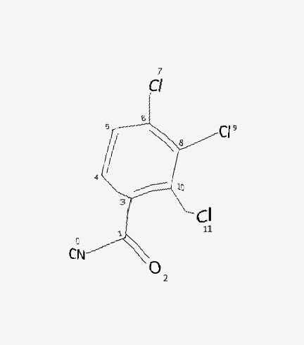 [C-]#[N+]C(=O)c1ccc(Cl)c(Cl)c1Cl